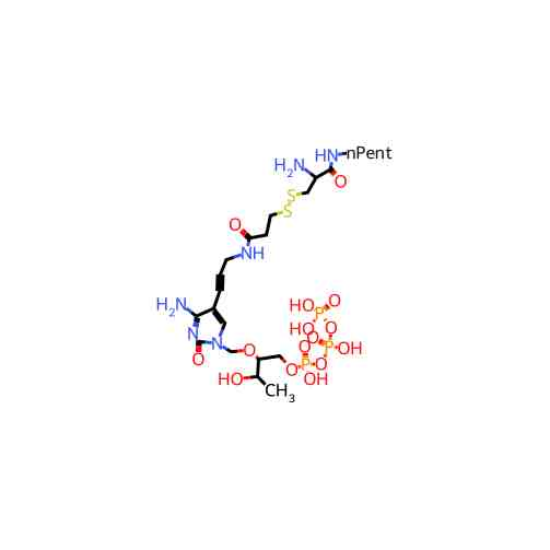 CCCCCNC(=O)C(N)CSSCCC(=O)NCC#Cc1cn(COC(COP(=O)(O)OP(=O)(O)OP(=O)(O)O)C(C)O)c(=O)nc1N